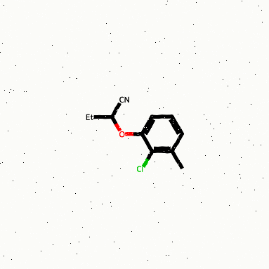 CCC(C#N)Oc1cccc(C)c1Cl